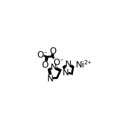 C1=NC=NC1.C1=NC=NC1.O=C([O-])C(=O)[O-].[Ni+2]